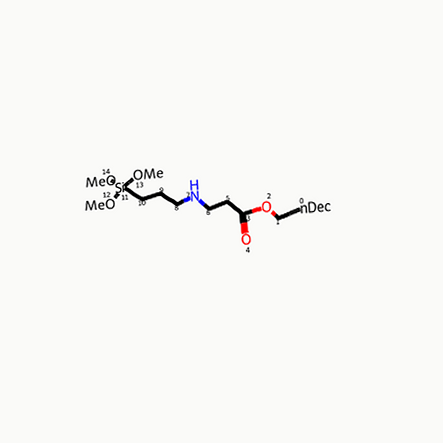 CCCCCCCCCCCOC(=O)CCNCCC[Si](OC)(OC)OC